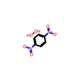 O=[N+]([O-])c1ccc([N+](=O)[O-])cc1.OO